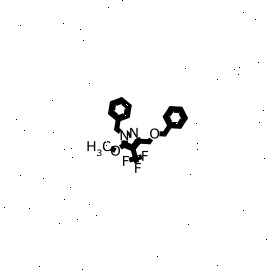 COc1c(C(F)(F)F)c(COCc2ccccc2)nn1Cc1ccccc1